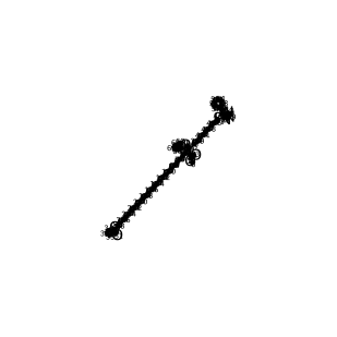 COC(=O)C(CCCCCCCCCCCCCCCCCCCCCCCCOC(=O)C(C)(C)C)[C@@H](CCCCCCCCCSc1nnnn1-c1ccccc1)O[Si](C)(C)C(C)(C)C